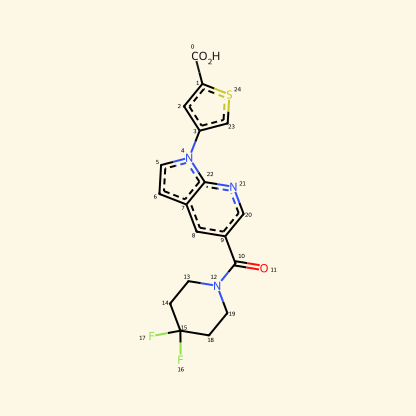 O=C(O)c1cc(-n2ccc3cc(C(=O)N4CCC(F)(F)CC4)cnc32)cs1